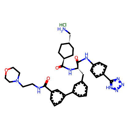 Cl.NC[C@H]1CC[C@H](C(=O)N[C@@H](Cc2cccc(-c3cccc(C(=O)NCCN4CCOCC4)c3)c2)C(=O)Nc2ccc(-c3nnn[nH]3)cc2)CC1